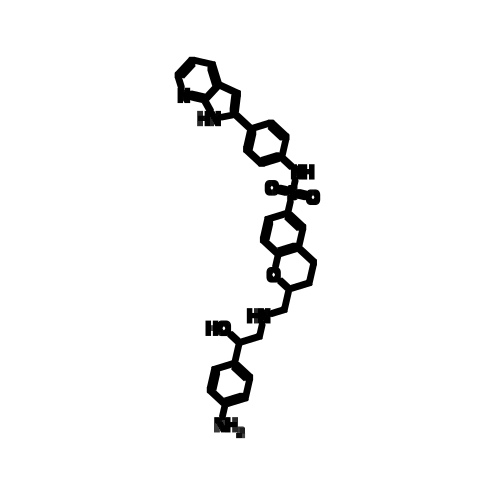 Nc1ccc(C(O)CNCC2CCc3cc(S(=O)(=O)Nc4ccc(-c5cc6cccnc6[nH]5)cc4)ccc3O2)cc1